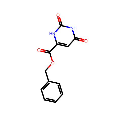 O=C(OCc1ccccc1)c1cc(=O)[nH]c(=O)[nH]1